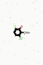 COc1c(Cl)c[c]c(F)c1Br